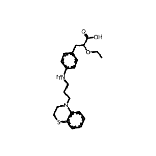 CCOC(Cc1ccc(NCCCN2CCSc3ccccc32)cc1)C(=O)O